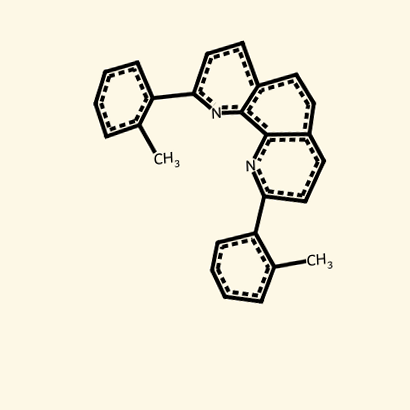 Cc1ccccc1-c1ccc2ccc3ccc(-c4ccccc4C)nc3c2n1